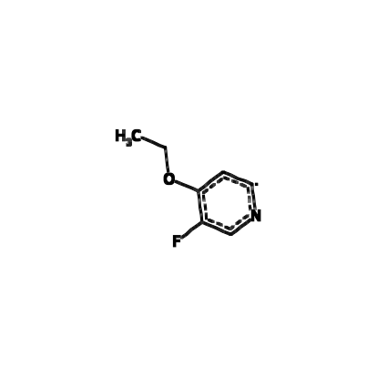 CCOc1c[c]ncc1F